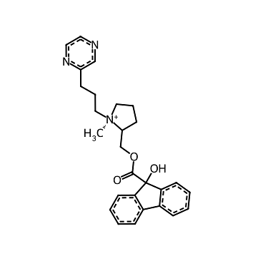 C[N@+]1(CCCc2cnccn2)CCCC1COC(=O)C1(O)c2ccccc2-c2ccccc21